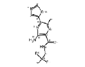 Cc1nc(C(=O)NCC(C)(F)F)c(N)nc1-c1cnco1